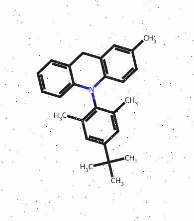 Cc1ccc2c(c1)Cc1ccccc1N2c1c(C)cc(C(C)(C)C)cc1C